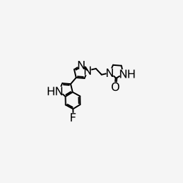 O=C1NCCN1CCn1cc(-c2c[nH]c3cc(F)ccc23)cn1